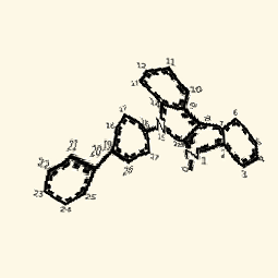 Cn1c2ccccc2c2c3ccccc3n(-c3ccc(-c4ccccc4)cc3)c21